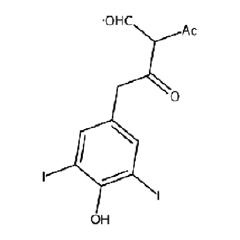 CC(=O)C([C]=O)C(=O)Cc1cc(I)c(O)c(I)c1